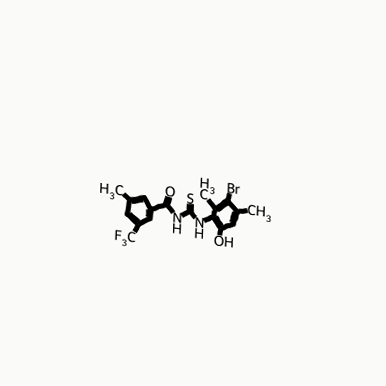 Cc1cc(C(=O)NC(=S)Nc2c(O)cc(C)c(Br)c2C)cc(C(F)(F)F)c1